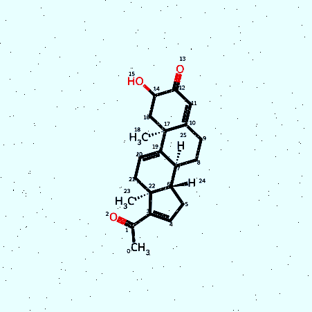 CC(=O)C1=CC[C@H]2[C@@H]3CCC4=CC(=O)C(O)C[C@]4(C)C3=CC[C@]12C